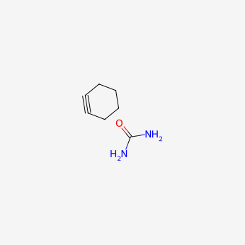 C1#CCCCC1.NC(N)=O